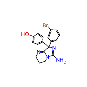 NC1=NC(c2ccc(O)cc2)(c2cccc(Br)c2)C2=NCCCN12